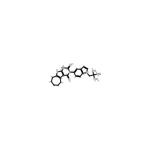 CC(C)(O)Cn1ccc2cc(-n3c(=O)[nH]c4sc5c(c4c3=O)CCCCC5)ccc21